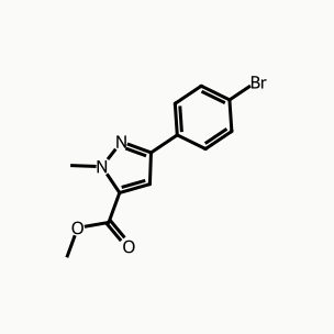 COC(=O)c1cc(-c2ccc(Br)cc2)nn1C